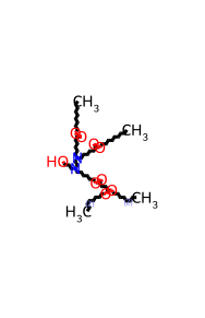 CC/C=C\CCCCOC(CCC(=O)OCCCCCCN(CCCO)CCN(CCCCCC(=O)OCCCCCCCCC)CCCCCC(=O)OCCCCCCCCC)OCCCC/C=C\CC